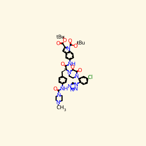 CN1CCN(C(=O)Nc2ccc(C[C@@H](C(=O)Nc3ccc4c(c3)cc(C(=O)OC(C)(C)C)n4C(=O)OC(C)(C)C)N3CCN(c4cc(Cl)ccc4-n4cnnn4)C(=O)C3=O)cc2)CC1